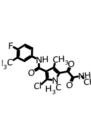 CNC(=O)C(=O)c1c(C)c(C(=O)Nc2ccc(F)c(C)c2)c(Cl)n1C